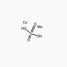 O=S(=O)(O)O.[Co].[Mn]